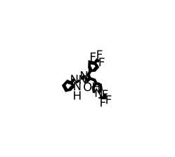 Oc1c(CC2CCN(CC(F)(F)F)CC2)c(-c2ccc(C(F)(F)F)cc2)nn1-c1nc2ccccc2[nH]1